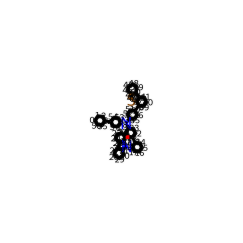 c1ccc(-c2ccc(N(c3ccc(-c4ccccc4-n4c5ccccc5c5ccccc54)cc3)c3ccc(-c4cccc5c4sc4ccccc45)cc3)cc2)cc1